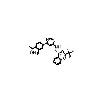 CC(O)c1ccc(-c2cc(NC[C@H](OC(=O)C(F)(F)F)c3ccccc3)ncn2)cc1F